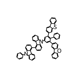 c1ccc(-c2c(-c3ccc4c(c3)sc3ccccc34)cc(-n3c4ccccc4c4c(-c5cccc6c5c5ccccc5n6-c5ccccc5)cccc43)cc2-c2ccc3oc4ccccc4c3c2)cc1